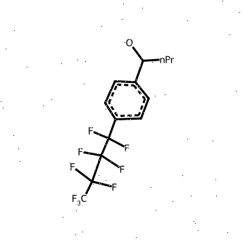 CCCC([O])c1ccc(C(F)(F)C(F)(F)C(F)(F)C(F)(F)F)cc1